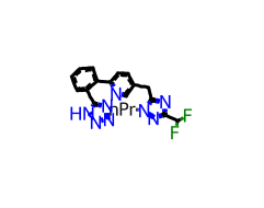 CCCn1nc(C(F)F)nc1Cc1ccc(-c2ccccc2-c2nnn[nH]2)nc1